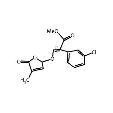 COC(=O)/C(=C/OC1C=C(C)C(=O)O1)c1cccc(Cl)c1